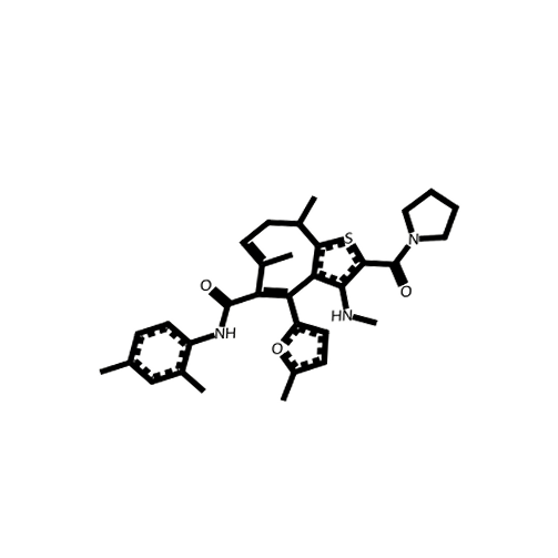 CNc1c(C(=O)N2CCCC2)sc2c1/C(c1ccc(C)o1)=C(C(=O)Nc1ccc(C)cc1C)\C(C)=C\CC2C